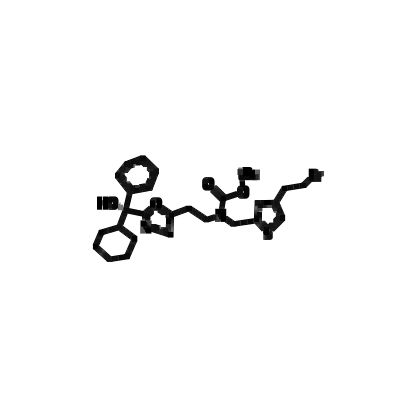 CC(C)(C)OC(=O)N(CCc1cnc([C@](O)(c2ccccc2)C2CCCCC2)o1)Cc1cc(CCBr)cs1